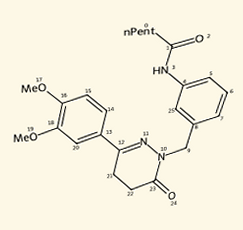 CCCCCC(=O)Nc1cccc(CN2N=C(c3ccc(OC)c(OC)c3)CCC2=O)c1